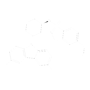 CCCN=S(=O)(N[C@@H]1COC[C@@H](n2c3ccc(Cl)cc3c3cc(Cl)ccc32)[C@H]1O)c1ccc(OC(F)(F)F)cc1